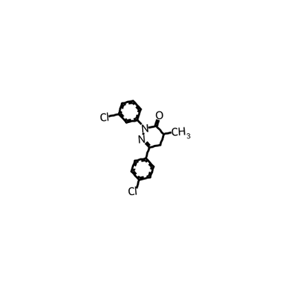 CC1CC(c2ccc(Cl)cc2)=NN(c2cccc(Cl)c2)C1=O